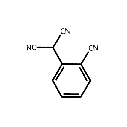 N#Cc1ccccc1C(C#N)C#N